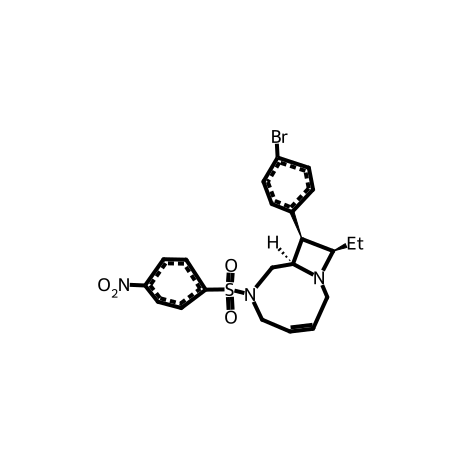 CC[C@@H]1[C@H](c2ccc(Br)cc2)[C@@H]2CN(S(=O)(=O)c3ccc([N+](=O)[O-])cc3)C/C=C\CN12